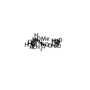 COc1cc(N2CCN(C(=O)CCOCCOCCNc3cccc4c3CN(C3CCC(=O)NC3=O)C4=O)CC2)ccc1Nc1ncc(Cl)c(Nc2ccccc2P(C)(C)=O)n1